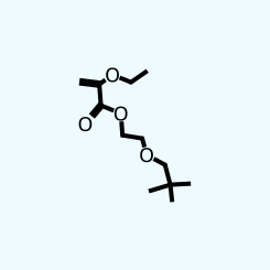 C=C(OCC)C(=O)OCCOCC(C)(C)C